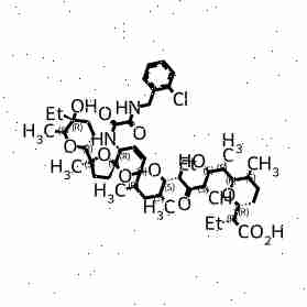 CCC(C(=O)[C@@H](C)[C@@H](O)[C@H](C)[C@@H]1O[C@@H]([C@@H](CC)C(=O)O)CC[C@@H]1C)[C@H]1O[C@]2(C=C[C@@H](NC(=O)C(=O)NCc3ccccc3Cl)[C@]3(CC[C@@](C)([C@H]4CC[C@](O)(CC)[C@H](C)O4)O3)O2)[C@H](C)C[C@@H]1C